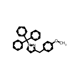 COc1ccc(Cc2ccn(C(c3ccccc3)(c3ccccc3)c3ccccc3)n2)cc1